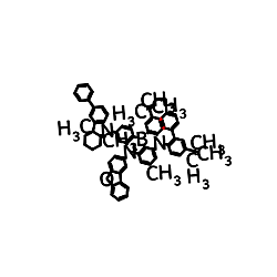 Cc1cc2c3c(c1)N(c1ccc(C(C)(C)C)cc1-c1ccccc1)c1ccc(C(C)(C)C)cc1B3c1ccc(N3c4ccc(-c5ccccc5)cc4C4(C)CCCCC34C)cc1N2c1ccc2oc3ccccc3c2c1